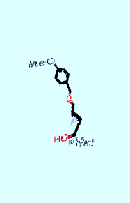 CCCCC[C@H](O)/C=C/COCc1ccc(OC)cc1